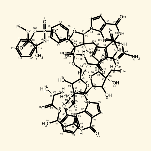 CC(C)OC(=O)[C@H](C)NP(=O)(OC[C@H]1O[C@@H](n2ccc3c(=O)[nH]c(NC(C)OC(=O)[C@H](C)N[P@](=O)(OC[C@H]4O[C@@H](n5ccc6c(=O)[nH]c(NC(C)OC(=O)[C@H](C)N[P@@](=O)(OC[C@H]7O[C@@H](n8ccc9c(=O)[nH]c(N)nc98)[C@@](O)(CF)C7O)Oc7ccccc7)nc65)[C@@](O)(CF)C4O)Oc4ccccc4)nc32)[C@@](O)(CF)C1O)Oc1ccccc1